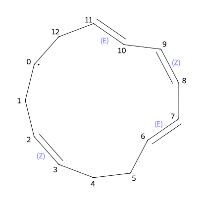 [CH]1C/C=C\CC/C=C/C=C\C=C\C1